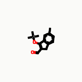 Cc1ccc2c(c1)C(O[Si](C)(C)C)=C(C=O)C2